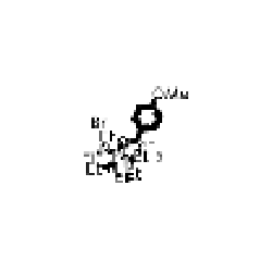 CCN(CC)[P+](OC(c1ccc(OC)cc1)C(F)(F)F)(N(CC)CC)N(CC)CC.[Br-]